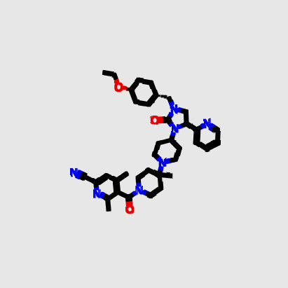 CCO[C@H]1CC[C@H](CN2CC(c3ccccn3)N(C3CCN(C4(C)CCN(C(=O)c5c(C)cc(C#N)nc5C)CC4)CC3)C2=O)CC1